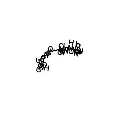 O=C1CCC(N2Cc3cc(N4CCN(C(=O)CCCCc5nc(-c6ncc(NC(=O)Nc7cnc8ccnn8c7C7CCCCC7)cc6Cl)no5)CC4)ccc3C2=O)C(=O)N1